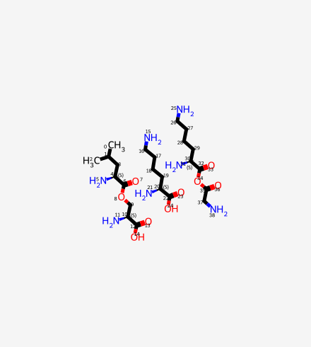 CC(C)C[C@H](N)C(=O)OC[C@H](N)C(=O)O.NCCCC[C@H](N)C(=O)O.NCCCC[C@H](N)C(=O)OC(=O)CN